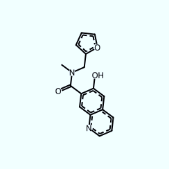 CN(Cc1ccco1)C(=O)c1cc2ncccc2cc1O